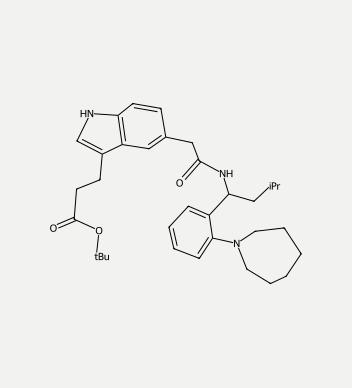 CC(C)CC(NC(=O)Cc1ccc2[nH]cc(CCC(=O)OC(C)(C)C)c2c1)c1ccccc1N1CCCCCC1